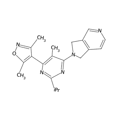 Cc1noc(C)c1-c1nc(C(C)C)nc(N2Cc3ccncc3C2)c1C